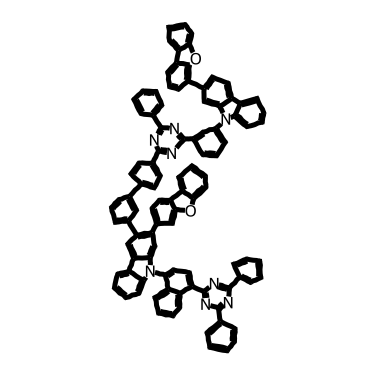 c1ccc(-c2nc(-c3ccc(-c4cccc(-c5cc6c7ccccc7n(-c7ccc(-c8nc(-c9ccccc9)nc(-c9ccccc9)n8)c8ccccc78)c6cc5-c5ccc6c(c5)oc5ccccc56)c4)cc3)nc(-c3cccc(-n4c5ccccc5c5ccc(-c6cccc7c6oc6ccccc67)cc54)c3)n2)cc1